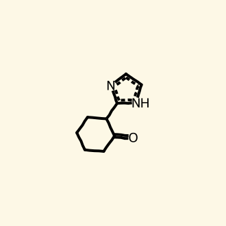 O=C1CCCCC1c1ncc[nH]1